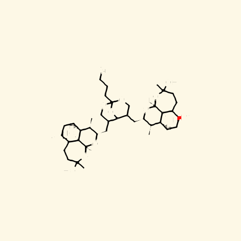 C[C@H]1[C@@H](CC2COC3(CCCBr)OCC(C[C@H]4O[C@@H]5OC(C)(O)CC[C@H]6[C@H](C)CC[C@@H]([C@H]4C)[C@@]56O)C2O3)O[C@@H]2OC(C)(O)CC[C@H]3[C@H](C)CC[C@@H]1[C@@]23O